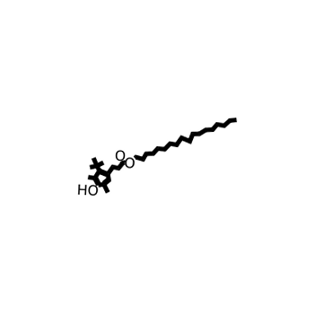 CCCCCCCCCCCCCCCCCCOC(=O)CCc1cc(C)c(O)c(C)c1C(C)(C)C